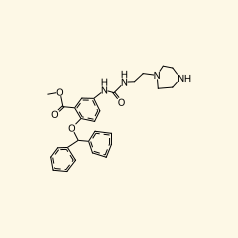 COC(=O)c1cc(NC(=O)NCCN2CCNCC2)ccc1OC(c1ccccc1)c1ccccc1